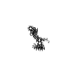 [2H]C([2H])([2H])Oc1cc2nc(N3CCN(C(=O)C4([2H])Oc5ccccc5OC4([2H])[2H])CC3)nc(N)c2cc1OC([2H])([2H])[2H]